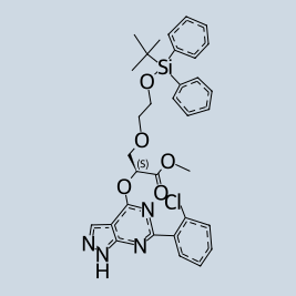 COC(=O)[C@H](COCCO[Si](c1ccccc1)(c1ccccc1)C(C)(C)C)Oc1nc(-c2ccccc2Cl)nc2[nH]ncc12